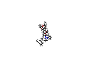 c1ccc(-c2ccc(N(c3ccc(-c4cccc5c4-c4ccccc4C54c5ccc6ccccc6c5Oc5c4ccc4ccccc54)cc3)c3ccccc3-c3ccccc3)cc2)cc1